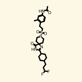 CC(=O)Nc1ccc(CCS(=O)(=O)N2CCC3(CC2)N=C(C2CCC(CCC(F)F)CC2)NC3=O)c(C)c1